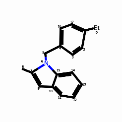 CCc1ccc(Cn2c(C)[c]c3ccccc32)cc1